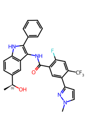 C[C@H](O)c1ccc2[nH]c(-c3ccccc3)c(NC(=O)c3cc(-c4ccn(C)n4)c(C(F)(F)F)cc3F)c2c1